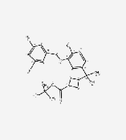 CC(C)(C)OC(=O)N1CC(C(C)(O)c2cnc(Cl)c(OCc3cc(F)cc(F)c3)c2)C1